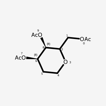 CC(=O)OCC1OCC[C@@H](OC(C)=O)[C@H]1OC(C)=O